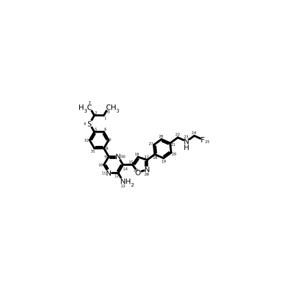 CCC(C)Sc1ccc(-c2cnc(N)c(-c3cc(-c4ccc(CNCF)cc4)no3)n2)cc1